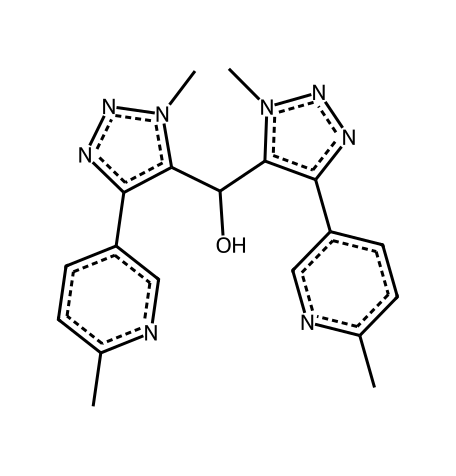 Cc1ccc(-c2nnn(C)c2C(O)c2c(-c3ccc(C)nc3)nnn2C)cn1